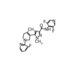 CC1=C(c2cc(C(=O)Nc3c(F)cncc3F)nn2C)CN(c2ncccc2F)CC1